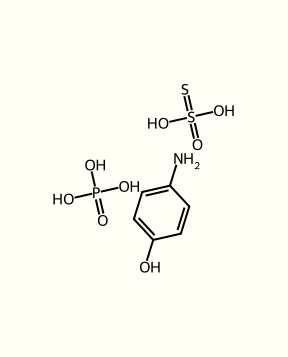 Nc1ccc(O)cc1.O=P(O)(O)O.O=S(O)(O)=S